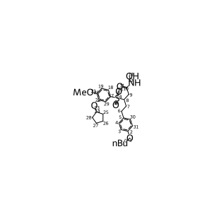 CCCCOc1ccc(CCC(CC(=O)NO)S(=O)(=O)c2ccc(OC)c(OC3CCCC3)c2)cc1